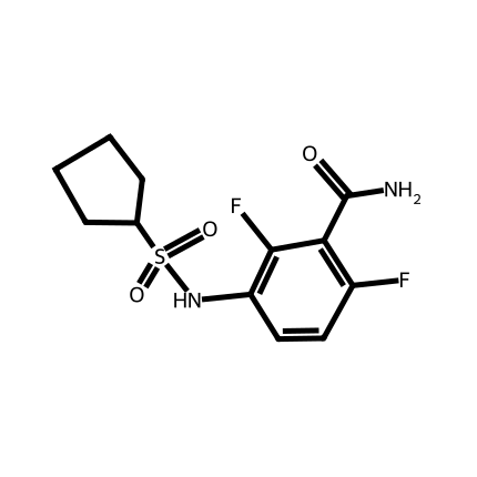 NC(=O)c1c(F)ccc(NS(=O)(=O)C2CCCC2)c1F